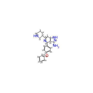 Nc1n[nH]c2cc(C3CCCNC3)nc(-c3ccc(Oc4ccccc4)cc3)c12